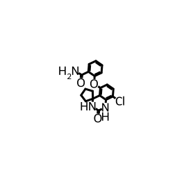 NC(=O)c1ccccc1Oc1ccc(Cl)c2c1C1(CCCC1)NC(=O)N2